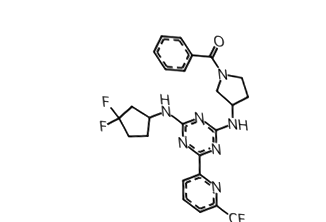 O=C(c1ccccc1)N1CCC(Nc2nc(NC3CCC(F)(F)C3)nc(-c3cccc(C(F)(F)F)n3)n2)C1